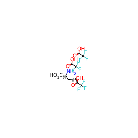 CC(C)C[C@H](N)C(=O)O.O=C(O)C(F)(F)F.O=C(O)C(F)(F)F.O=C(O)C(F)(F)F